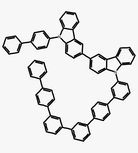 c1ccc(-c2ccc(-c3cccc(-c4cccc(-c5ccc(-c6cccc(-n7c8ccccc8c8cc(-c9ccc%10c(c9)c9ccccc9n%10-c9ccc(-c%10ccccc%10)cc9)ccc87)c6)cc5)c4)c3)cc2)cc1